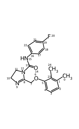 Cc1cccc(OCC2=NCCN2C(=O)Nc2ccc(F)cc2)c1C